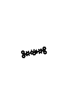 Cc1c(C)c(-n2c3ccccc3c3ccccc32)c(C)c(C)c1-c1cnc2c(ccc3cc(-c4c(C)c(C)c(-n5c6ccccc6c6ccccc65)c(C)c4C)cnc32)c1